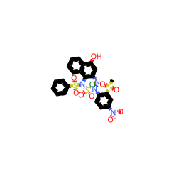 CS(=O)(=O)c1cc([N+](=O)[O-])ccc1N=Nc1cc(O)c2ccccc2c1N(S(=O)(=O)Cl)S(=O)(=O)c1ccccc1